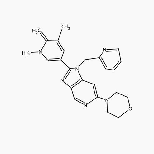 C=C1C(C)=CC(c2nc3cnc(N4CCOCC4)cc3n2Cc2ccccn2)=CN1C